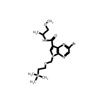 COCC(C)NC(=O)c1cn(COCC[Si](C)(C)C)c2ncc(Br)nc12